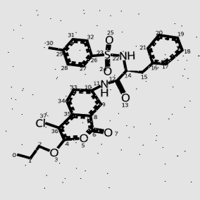 CCCOc1oc(=O)c2cc(NC(=O)[C@H](Cc3ccccc3)NS(=O)(=O)c3ccc(C)cc3)ccc2c1Cl